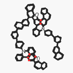 c1cc(-c2ccc(N(c3ccc4c(ccc5ccccc54)c3)c3ccccc3-c3ccc4oc5c6ccccc6cc(-c6ccc7cc(-c8cccc(-c9ccc(N(c%10ccccc%10-c%10ccc%11oc%12c%13ccccc%13ccc%12c%11c%10)c%10cccc%11ccccc%10%11)cc9)c8)ccc7c6)c5c4c3)cc2)cc(-c2ccc3ccccc3c2)c1